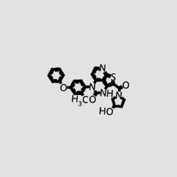 Cc1cc(Oc2ccccc2)ccc1N1C(=O)Nc2c(C(=O)N3CCC(O)C3)sc3nccc1c23